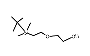 CC(C)(C)[Si](C)(C)CCOCCO